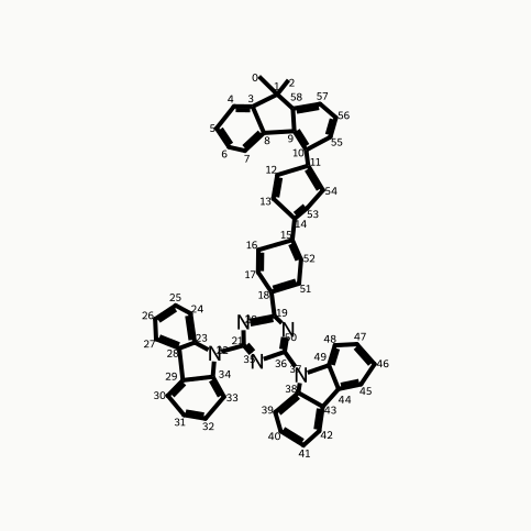 CC1(C)c2ccccc2-c2c(-c3ccc(-c4ccc(-c5nc(-n6c7ccccc7c7ccccc76)nc(-n6c7ccccc7c7ccccc76)n5)cc4)cc3)cccc21